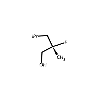 CC(C)C[C@](C)(F)CO